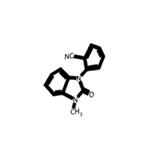 Cn1c(=O)n(-c2ccccc2C#N)c2ccccc21